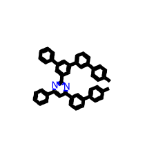 Cc1ccc(-c2cccc(-c3cc(-c4ccccc4)cc(-c4nc(-c5ccccc5)cc(-c5cccc(-c6ccc(C)cc6)c5)n4)c3)c2)cc1